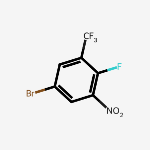 O=[N+]([O-])c1cc(Br)cc(C(F)(F)F)c1F